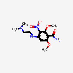 COc1cc(NCCN(C)C)c([N+](=O)[O-])c(OC)c1C(N)=O